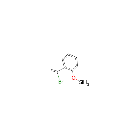 C=C(Br)c1ccccc1O[SiH3]